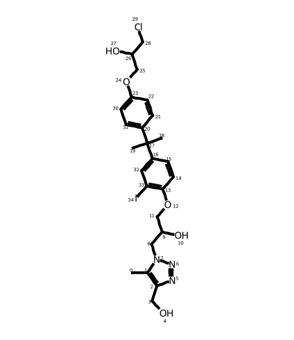 Cc1c(CO)nnn1CC(O)COc1ccc(C(C)(C)c2ccc(OCC(O)CCl)cc2)cc1I